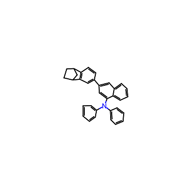 c1ccc(N(c2ccccc2)c2cc(-c3ccc4c(c3)C3CCC4C3)cc3ccccc23)cc1